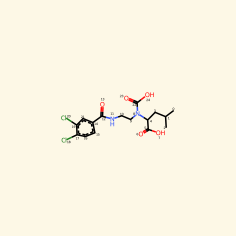 CC(C)CC(C(=O)O)N(CCNC(=O)c1ccc(Cl)c(Cl)c1)C(=O)O